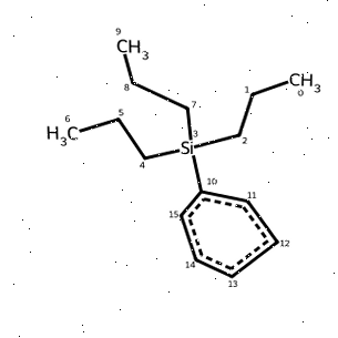 CCC[Si](CCC)(CCC)c1ccccc1